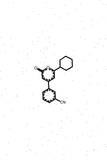 N#Cc1cccc(-c2cc(C3CCCCC3)oc(=O)c2)c1